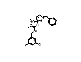 O=C(NCc1cc(F)cc(Cl)c1)OC1(O)CCN(Cc2ccccc2)C1